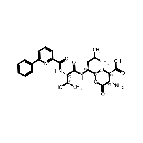 CC(C)C[C@H](NC(=O)[C@@H](NC(=O)c1cccc(-c2ccccc2)n1)[C@@H](C)O)B1OC(=O)[C@@H](N)[C@H](C(=O)O)O1